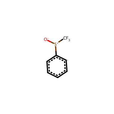 [O-][S+](c1[c]cccc1)C(F)(F)F